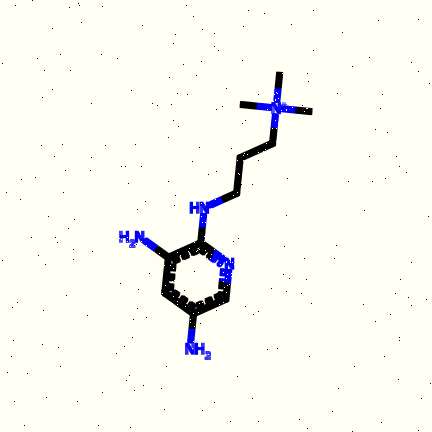 C[N+](C)(C)CCCNc1ncc(N)cc1N